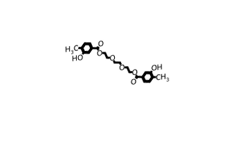 Cc1ccc(C(=O)OCCOCCOCCOC(=O)c2ccc(C)c(O)c2)cc1O